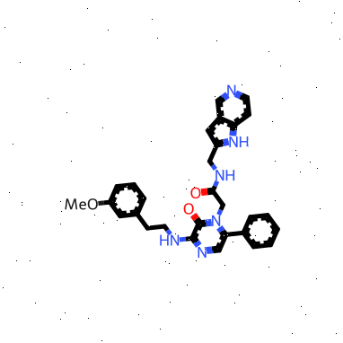 COc1cccc(CCNc2ncc(-c3ccccc3)n(CC(=O)NCc3cc4cnccc4[nH]3)c2=O)c1